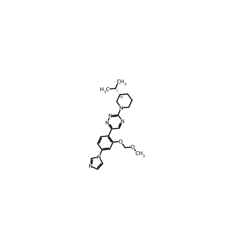 COCOc1cc(-n2ccnc2)ccc1-c1cnc(N2CCC[C@@H](C(C)C)C2)nn1